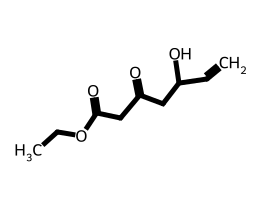 C=CC(O)CC(=O)CC(=O)OCC